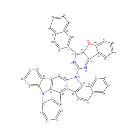 C1=CC2=CC(C=C1)n1c3ccccc3c3cc4c(c2c31)c1ccc2ccccc2c1n4-c1nc(-c2ccc3ccccc3c2)c2oc3ccccc3c2n1